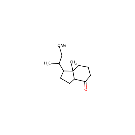 COCC(C)C1CCC2C(=O)CCCC21C